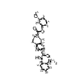 COc1cccc(OC(=O)N2CCc3nc(C(=O)Nc4ccccc4N)sc3C2)c1